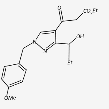 CCOC(=O)CC(=O)c1cn(Cc2ccc(OC)cc2)nc1C(O)CC